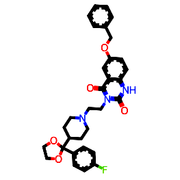 O=c1[nH]c2ccc(OCc3ccccc3)cc2c(=O)n1CCN1CCC(C2(c3ccc(F)cc3)OCCO2)CC1